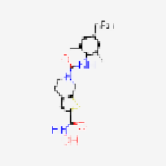 CCCCc1cc(C)c(NC(=O)N2CCc3cc(C(=O)NO)sc3C2)c(C)c1